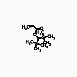 C=CC(=O)OC([Si](C)(C)C)[Si](C)(C)C